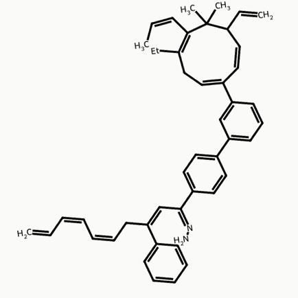 C=C/C=C\C=C/C/C(=C/C(=N\N)c1ccc(-c2cccc(C3=C/C/C(CC)=C(/C=C\C)C(C)(C)C(C=C)/C=C\3)c2)cc1)c1ccccc1